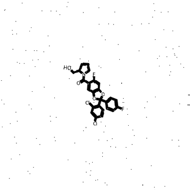 O=C(c1cc2c(cc1F)OC(c1ccc(F)cc1)(c1ccc(Cl)cc1Cl)O2)N1CCCC1CO